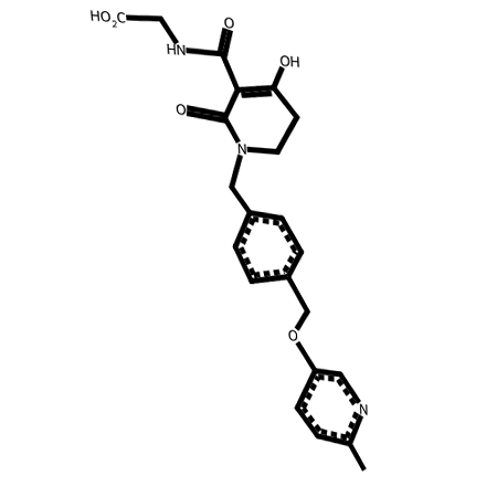 Cc1ccc(OCc2ccc(CN3CCC(O)=C(C(=O)NCC(=O)O)C3=O)cc2)cn1